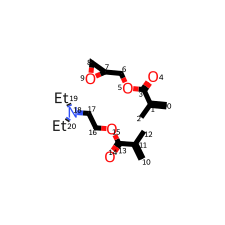 C=C(C)C(=O)OCC1CO1.C=C(C)C(=O)OCCN(CC)CC